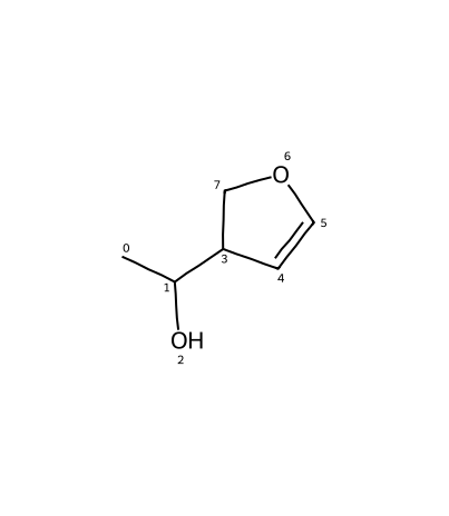 CC(O)C1C=COC1